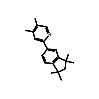 Cc1cnc(-c2ccc3c(c2)C(C)(C)CC3(C)C)cc1C